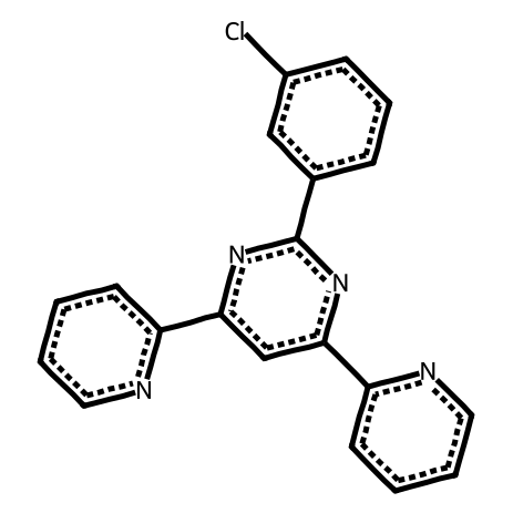 Clc1cccc(-c2nc(-c3ccccn3)cc(-c3ccccn3)n2)c1